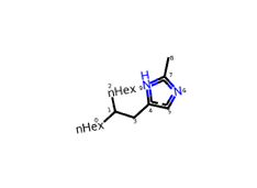 CCCCCCC(CCCCCC)Cc1cnc(C)[nH]1